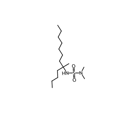 CCCCCCCC(C)(CCCC)NS(=O)(=O)N(C)C